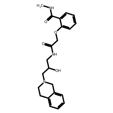 CNC(=O)c1ccccc1OCC(=O)NCC(O)CN1CCc2ccccc2C1